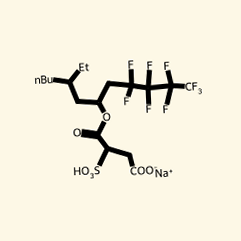 CCCCC(CC)CC(CC(F)(F)C(F)(F)C(F)(F)C(F)(F)F)OC(=O)C(CC(=O)[O-])S(=O)(=O)O.[Na+]